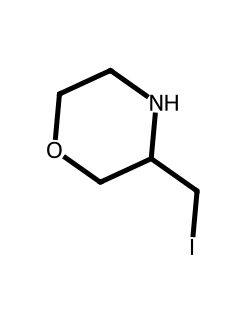 ICC1COCCN1